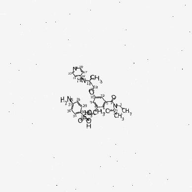 CCN(C(=O)c1cc(C)cc(OC[C@H](C)Nc2ccncc2)c1)C(C)C.Nc1ccc(S(=O)(=O)O)cc1